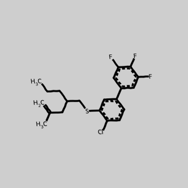 C=C(C)CC(CCC)CSc1cc(-c2cc(F)c(F)c(F)c2)ccc1Cl